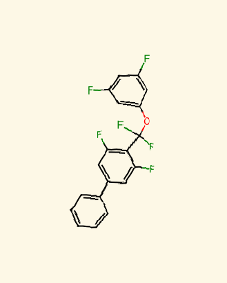 Fc1cc(F)cc(OC(F)(F)c2c(F)cc(-c3ccccc3)cc2F)c1